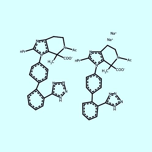 CCCc1nc2c(n1-c1ccc(-c3ccccc3-c3nnn[nH]3)cc1)C(C)(C(=O)[O-])N(C(C)=O)CC2.CCCc1nc2c(n1-c1ccc(-c3ccccc3-c3nnn[nH]3)cc1)C(C)(C(=O)[O-])N(C(C)=O)CC2.[Na+].[Na+]